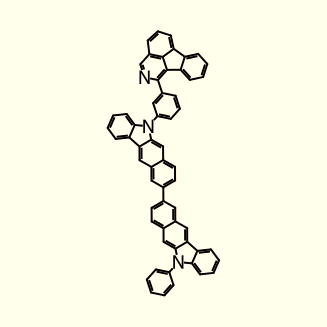 c1ccc(-n2c3ccccc3c3cc4cc(-c5ccc6cc7c(cc6c5)c5ccccc5n7-c5cccc(-c6ncc7cccc8c7c6-c6ccccc6-8)c5)ccc4cc32)cc1